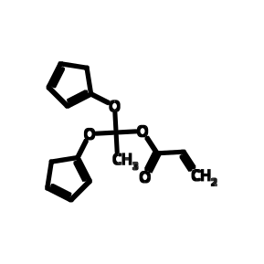 C=CC(=O)OC(C)(OC1=CC=CC1)OC1=CC=CC1